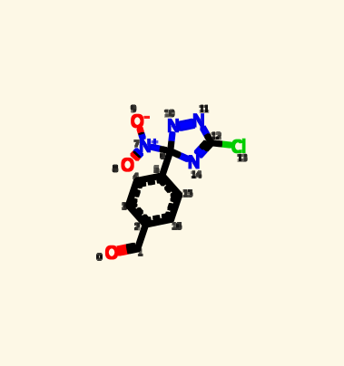 O=Cc1ccc(C2([N+](=O)[O-])N=NC(Cl)=N2)cc1